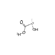 [2H]OC(=O)[C@H](C)O